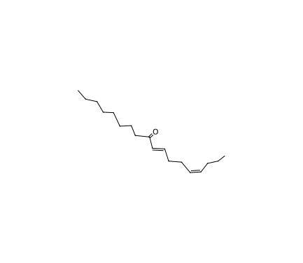 CCC/C=C\CC/C=C/C(=O)CCCCCCCC